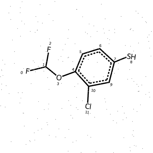 FC(F)Oc1ccc(S)cc1Cl